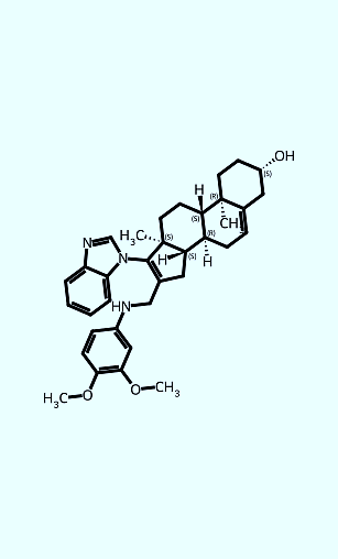 COc1ccc(NCC2=C(n3cnc4ccccc43)[C@@]3(C)CC[C@H]4[C@@H](CC=C5C[C@@H](O)CC[C@@]54C)[C@@H]3C2)cc1OC